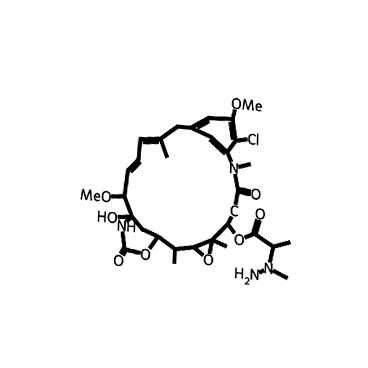 COc1cc2cc(c1Cl)N(C)C(=O)CC(OC(=O)C(C)N(C)N)C1(C)OC1C(C)C1CC(O)(NC(=O)O1)C(OC)/C=C/C=C(\C)C2